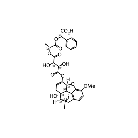 COc1ccc2c3c1O[C@@H]1C(OC(=O)[C@H](O)[C@@H](O)C(=O)O[C@@H](C)C(=O)O[C@H](C(=O)O)c4ccccc4)=CC[C@]4(O)[C@H](C2)N(C)CC[C@@]314